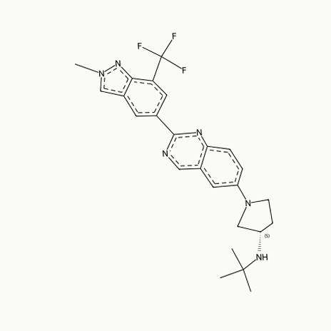 Cn1cc2cc(-c3ncc4cc(N5CC[C@H](NC(C)(C)C)C5)ccc4n3)cc(C(F)(F)F)c2n1